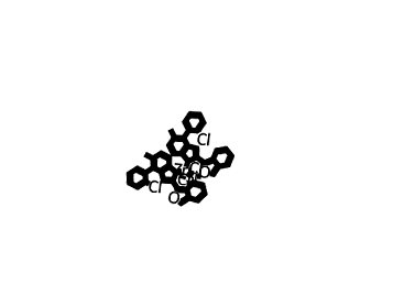 Cc1ccc2c(c1-c1ccccc1Cl)C=C(c1occ3ccccc13)[CH]2[Zr]([Cl])([Cl])([CH]1C(c2occ3ccccc23)=Cc2c1ccc(C)c2-c1ccccc1Cl)=[Si](C)C